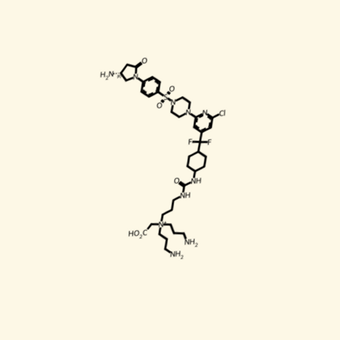 NCCC[N+](CCCN)(CCCNC(=O)NC1CCC(C(F)(F)c2cc(Cl)nc(N3CCN(S(=O)(=O)c4ccc(N5C[C@H](N)CC5=O)cc4)CC3)c2)CC1)CC(=O)O